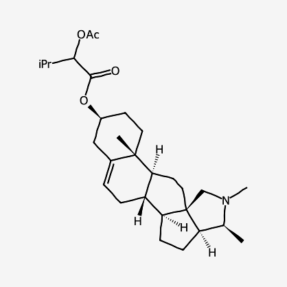 CC(=O)OC(C(=O)O[C@H]1CC[C@@]2(C)C(=CC[C@H]3[C@@H]4CC[C@@H]5[C@H](C)N(C)C[C@@]54CC[C@@H]32)C1)C(C)C